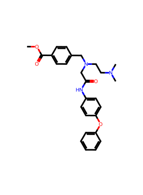 COC(=O)c1ccc(CN(CCN(C)C)CC(=O)Nc2ccc(Oc3ccccc3)cc2)cc1